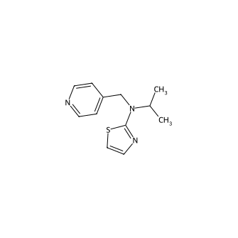 CC(C)N(Cc1ccncc1)c1nccs1